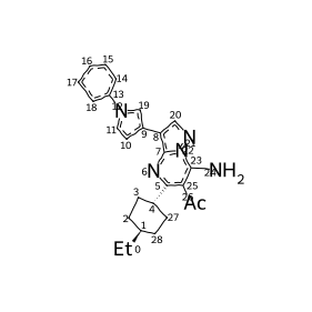 CC[C@H]1CC[C@H](c2nc3c(-c4ccn(-c5ccccc5)c4)cnn3c(N)c2C(C)=O)CC1